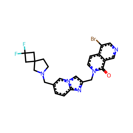 O=c1c2cncc(Br)c2ccn1Cc1cn2cc(CN3CCC4(C3)CC(F)(F)C4)ccc2n1